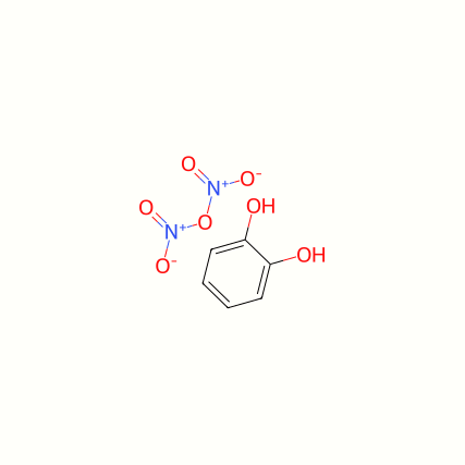 O=[N+]([O-])O[N+](=O)[O-].Oc1ccccc1O